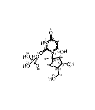 C[C@@]1(n2ccc(=O)[nH]c2=O)O[C@H](CO)[C@@H](O)[C@H]1O.O=P(O)(O)O